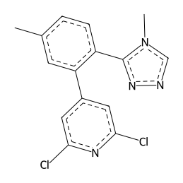 Cc1ccc(-c2nncn2C)c(-c2cc(Cl)nc(Cl)c2)c1